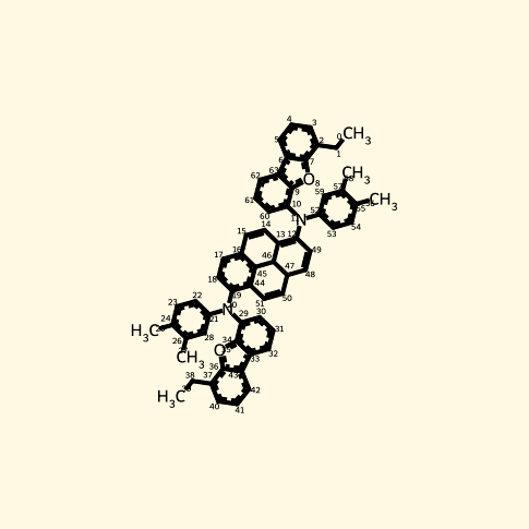 CCc1cccc2c1oc1c(N(C3=C4C=Cc5ccc(N(c6ccc(C)c(C)c6)c6cccc7c6oc6c(CC)cccc67)c6c5C4C(C=C3)C=C6)c3ccc(C)c(C)c3)cccc12